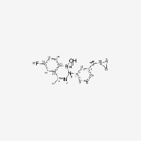 CC1=NN(c2cccc(SC3CC3)c2)B(O)c2ccc(F)cc21